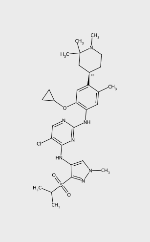 Cc1cc(Nc2ncc(Cl)c(Nc3cn(C)nc3S(=O)(=O)C(C)C)n2)c(OC2CC2)cc1[C@@H]1CCN(C)C(C)(C)C1